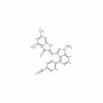 Cn1cc(/C=C2\Oc3cc(O)cc(O)c3C2=O)c2c(-c3ccc(C#N)cc3)cccc21